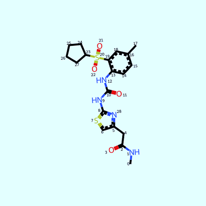 CNC(=O)Cc1csc(NC(=O)Nc2ccc(C)cc2S(=O)(=O)C2CCCC2)n1